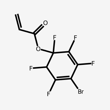 C=CC(=O)OC1(F)C(F)=C(F)C(Br)=C(F)C1F